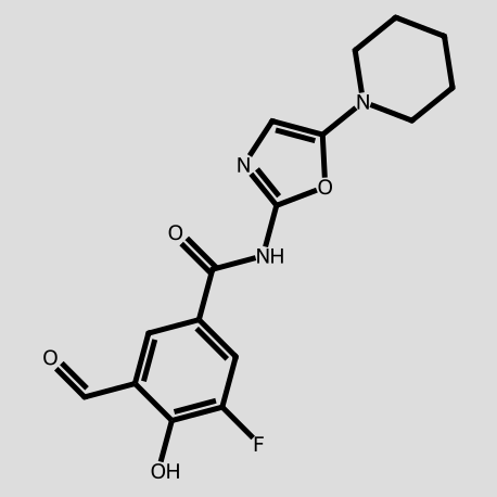 O=Cc1cc(C(=O)Nc2ncc(N3CCCCC3)o2)cc(F)c1O